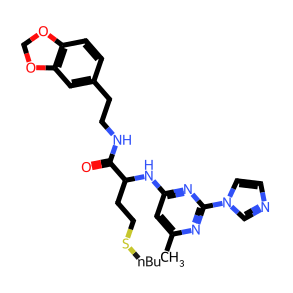 CCCCSCCC(Nc1cc(C)nc(-n2ccnc2)n1)C(=O)NCCc1ccc2c(c1)OCO2